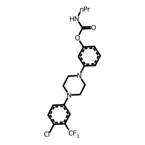 [CH2]CCNC(=O)Oc1cccc(N2CCN(c3ccc(Cl)c(C(F)(F)F)c3)CC2)c1